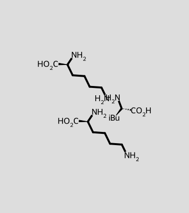 CC[C@H](C)[C@H](N)C(=O)O.NCCCC[C@H](N)C(=O)O.NCCCC[C@H](N)C(=O)O